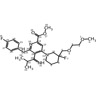 COCCOCC1(F)CCCN(c2cc(C(=O)OC)nc(Nc3ccc(F)cc3)c2C(=N)C(C)C)C1